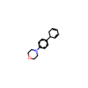 [C]1=CC(c2ccc(N3CCOCC3)cc2)CC=C1